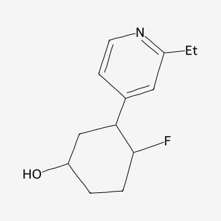 CCc1cc(C2CC(O)CCC2F)ccn1